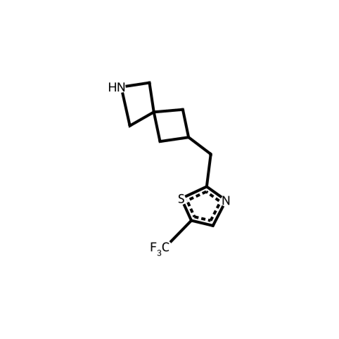 FC(F)(F)c1cnc(CC2CC3(CNC3)C2)s1